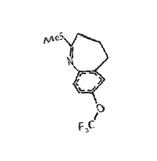 CSC1=Nc2ccc(OC(F)(F)F)cc2CCC1